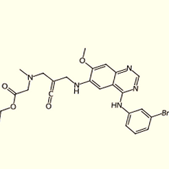 CCOC(=O)CN(C)CC(=C=O)CNc1cc2c(Nc3cccc(Br)c3)ncnc2cc1OC